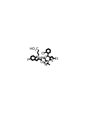 CCc1cc(C(=O)c2ccccc2Cl)c(-n2c(C)nnc2CNC(=O)c2cc3cc(F)ccc3n2CCCC(=O)O)s1